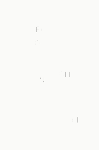 C=C(OCC)c1cc(C)n(Cc2cc(Cl)ccc2O)c1